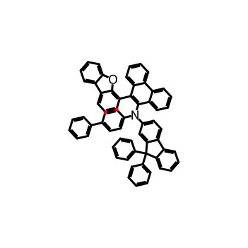 c1ccc(-c2ccc(N(c3ccc4c(c3)C(c3ccccc3)(c3ccccc3)c3ccccc3-4)c3c(-c4cccc5c4oc4ccccc45)c4ccccc4c4ccccc34)cc2)cc1